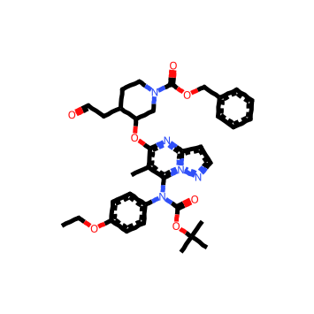 CCOc1ccc(N(C(=O)OC(C)(C)C)c2c(C)c(OC3CN(C(=O)OCc4ccccc4)CCC3CC=O)nc3ccnn23)cc1